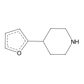 c1coc(C2CCNCC2)c1